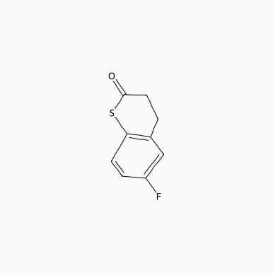 O=C1CCc2cc(F)ccc2S1